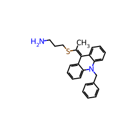 CC(SCCCN)=C1c2ccccc2N(Cc2ccccc2)c2ccccc21